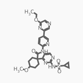 CCOc1cncc(-c2ccc(NC(=O)C3(c4ccnc(NS(=O)(=O)C5CC5)n4)CCC(OC)CC3)nc2)n1